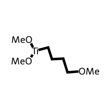 COCCC[CH2][Ti]([O]C)[O]C